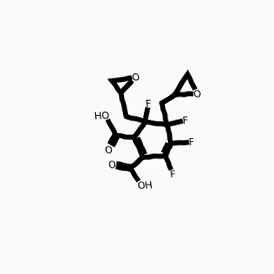 O=C(O)C1=C(C(=O)O)C(F)(CC2CO2)C(F)(CC2CO2)C(F)=C1F